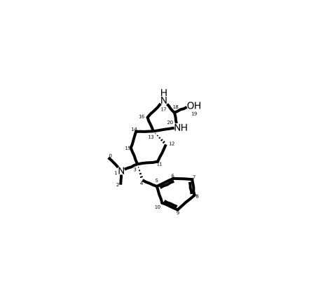 CN(C)[C@]1(Cc2ccccc2)CC[C@]2(CC1)CNC(O)N2